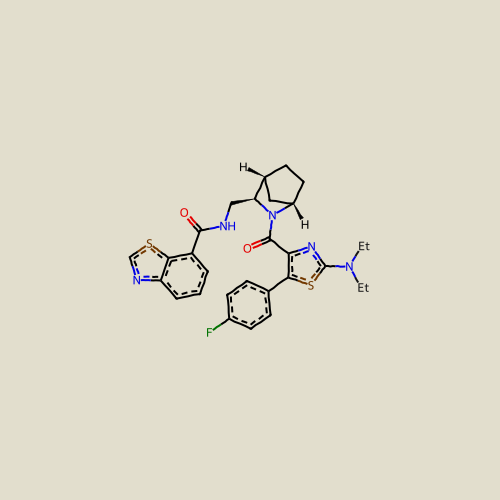 CCN(CC)c1nc(C(=O)N2[C@H]3CC[C@H](C3)[C@@H]2CNC(=O)c2cccc3ncsc23)c(-c2ccc(F)cc2)s1